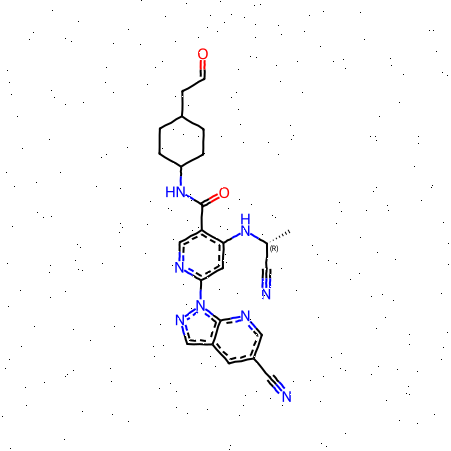 C[C@H](C#N)Nc1cc(-n2ncc3cc(C#N)cnc32)ncc1C(=O)NC1CCC(CC=O)CC1